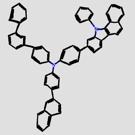 c1ccc(-c2cccc(-c3ccc(N(c4ccc(-c5ccc6ccccc6c5)cc4)c4ccc(-c5ccc6c7ccc8ccccc8c7n(-c7ccccc7)c6c5)cc4)cc3)c2)cc1